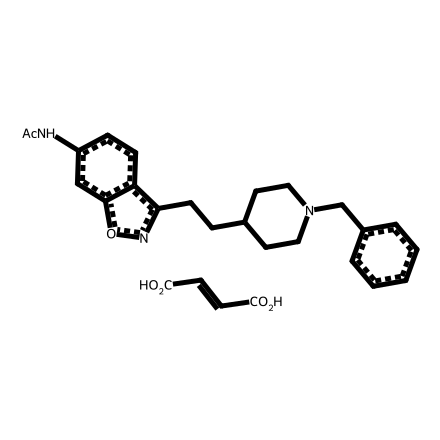 CC(=O)Nc1ccc2c(CCC3CCN(Cc4ccccc4)CC3)noc2c1.O=C(O)C=CC(=O)O